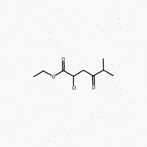 CCOC(=O)C(Cl)CC(=O)[C](C)C